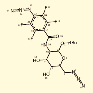 CC(C)(C)OC1OC(CN=[N+]=[N-])[C@H](O)[C@H](O)C1NC(=O)c1c(F)c(F)c(N=[N+]=[N-])c(F)c1F